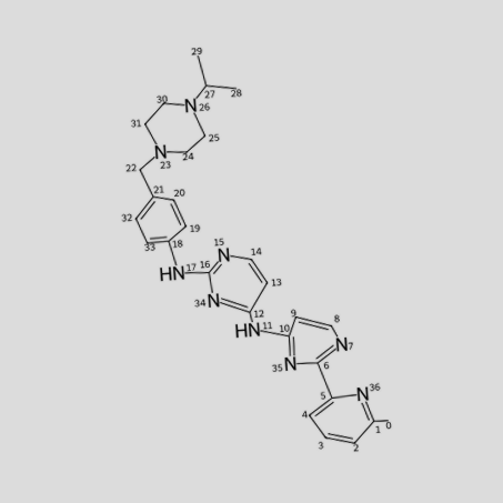 Cc1cccc(-c2nccc(Nc3ccnc(Nc4ccc(CN5CCN(C(C)C)CC5)cc4)n3)n2)n1